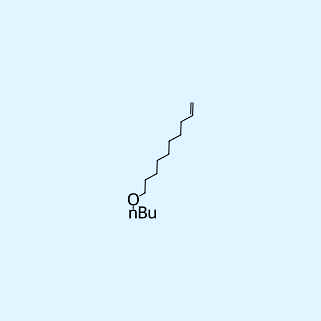 C=CCCCCCCCCOCCCC